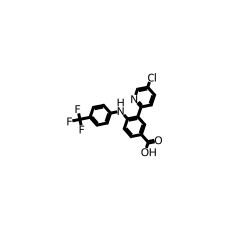 O=C(O)c1ccc(Nc2ccc(C(F)(F)F)cc2)c(-c2ccc(Cl)cn2)c1